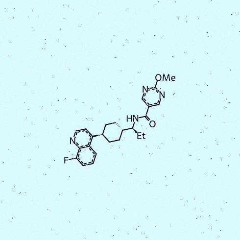 CC[C@H](NC(=O)c1cnc(OC)nc1)[C@H]1CC[C@H](c2ccnc3c(F)cccc32)CC1